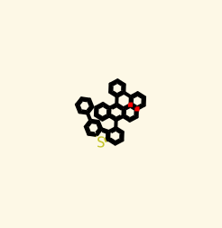 c1ccc(-c2ccc3sc4cccc(-c5c6ccccc6c(-c6ccccc6-c6ccccc6)c6ccccc56)c4c3c2)cc1